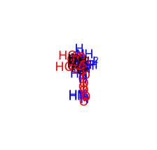 CCC1CC(=O)N(CC2=CN(CCOCCOCCOCCOCCC(=O)NCCSCc3c(OC)ccc4c5c([nH]c34)[S+]([O-])C[C@@H]3NC(=O)CNC(=O)[C@H]([C@@H](C)CC)NC(=O)CCNC(=O)[C@H](C5)NC(=O)[C@H]([C@@H](C)[C@@H](O)CO)NC(=O)[C@@H]4C[C@@H](O)CN4C(=O)[C@H](CC(N)=O)NC3=O)NN2)C1=O